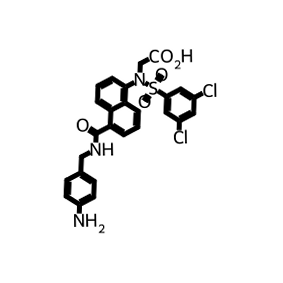 Nc1ccc(CNC(=O)c2cccc3c(N(CC(=O)O)S(=O)(=O)c4cc(Cl)cc(Cl)c4)cccc23)cc1